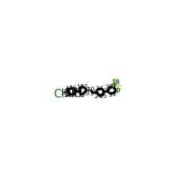 Fc1ccc(-c2ccc(CC[C@H]3CC[C@H](C4CC[SiH](Cl)CC4)CC3)cc2)cc1F